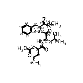 CCCC(SC(C)=O)C(=O)N[C@@H](CC(C)C)C(=O)N[C@@H](Cc1ccccc1)C(=O)NC